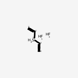 C=C[SiH2]C=C.F.F